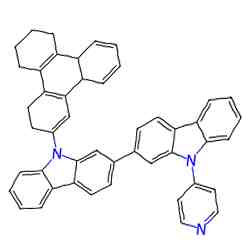 C1=CC2C3=C(CCC(n4c5ccccc5c5ccc(-c6ccc7c8ccccc8n(-c8ccncc8)c7c6)cc54)=C3)C3=C(CCCC3)C2C=C1